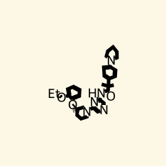 CCOc1ccccc1O[C@@H]1CCCN(c2cncc(NC(=O)C(C)(C)c3ccc(N4CCCCC4)cc3)n2)C1